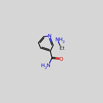 CCN.NC(=O)c1cccnc1